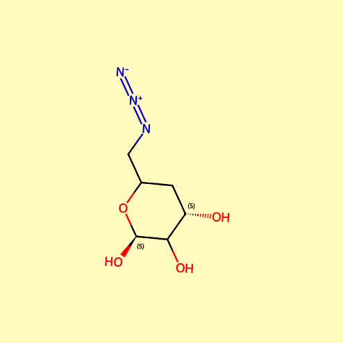 [N-]=[N+]=NCC1C[C@H](O)C(O)[C@@H](O)O1